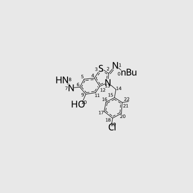 CCCCN=c1sc2cc(N=N)c(O)cc2n1Cc1ccc(Cl)cc1C